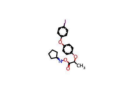 CC(Oc1ccc(Oc2ccc(I)cc2)cc1)C(=O)ON=C1CCCC1